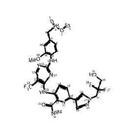 CCO[PH](=O)Cc1ccc(Nc2ncc(C(F)(F)F)c(Nc3ccc(-c4cnn(CC(F)(F)CO)c4)nc3C(=O)NC)n2)c(OC)c1